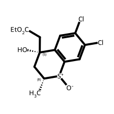 CCOC(=O)C[C@]1(O)C[C@@H](C)[S+]([O-])c2cc(Cl)c(Cl)cc21